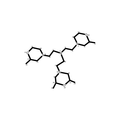 CC1CN(CCN(CCN2CCOC(C)C2)CCN2CC(C)OC(C)C2)CCO1